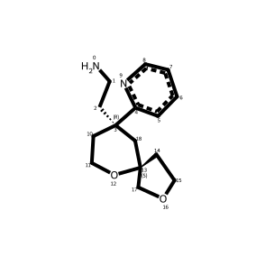 NCC[C@@]1(c2ccccn2)CCO[C@]2(CCOC2)C1